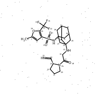 Cc1cc(S(=O)(=O)NC23CC4CC(CC(NCC(=O)N5CCC[C@H]5C=N)(C4)C2)C3)c(C(F)(F)F)o1